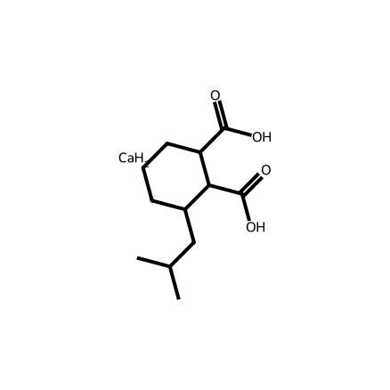 CC(C)CC1CCCC(C(=O)O)C1C(=O)O.[CaH2]